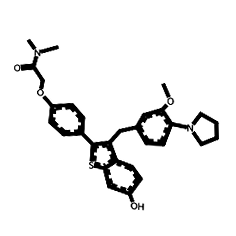 COc1cc(Cc2c(-c3ccc(OCC(=O)N(C)C)cc3)sc3cc(O)ccc23)ccc1N1CCCC1